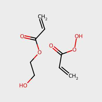 C=CC(=O)OCCO.C=CC(=O)OO